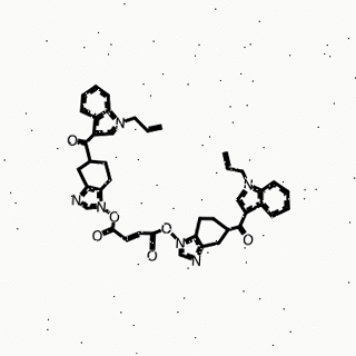 C=CCn1cc(C(=O)C2CCc3c(ncn3OC(=O)/C=C/C(=O)On3cnc4c3CCC(C(=O)c3cn(CC=C)c5ccccc35)C4)C2)c2ccccc21